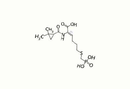 CC1(C)CC1C(=O)N/C(=C\CCCSCP(=O)(O)O)C(=O)O